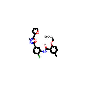 CCOC(=O)COc1ccc(C)cc1C(=O)Nc1cc(-c2nnc(-c3ccco3)o2)ccc1F